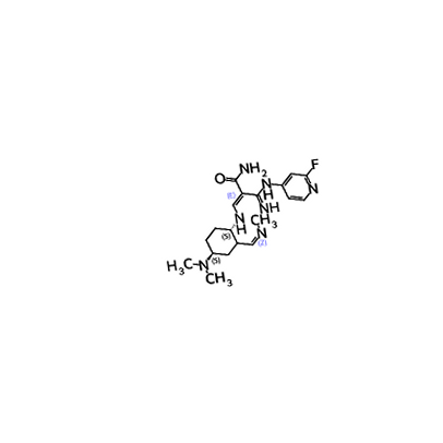 C/N=C\C1C[C@@H](N(C)C)CC[C@@H]1N/C=C(\C(=N)Nc1ccnc(F)c1)C(N)=O